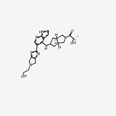 C[C@H](O)C(=O)N1C[C@H]2CC(Nc3c(-c4nc5c(s4)CN(CCO)C5)cnc4[nH]ccc34)C[C@H]2C1